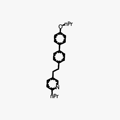 CCCOc1ccc(-c2ccc(CCc3ccc(CCC)nc3)cc2)cc1